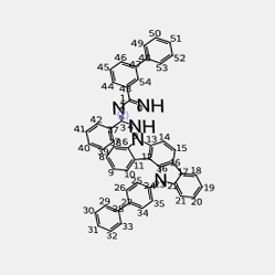 N=C(/N=C(\Nn1c2ccccc2c2c1ccc1c3ccccc3n(-c3ccc(-c4ccccc4)cc3)c12)c1ccccc1)c1cccc(-c2ccccc2)c1